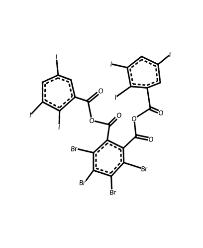 O=C(OC(=O)c1c(Br)c(Br)c(Br)c(Br)c1C(=O)OC(=O)c1cc(I)cc(I)c1I)c1cc(I)cc(I)c1I